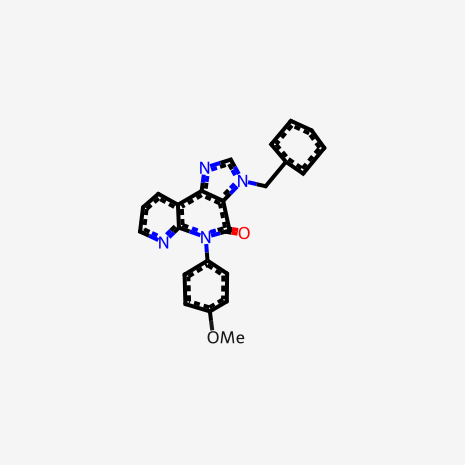 COc1ccc(-n2c(=O)c3c(ncn3Cc3ccccc3)c3cccnc32)cc1